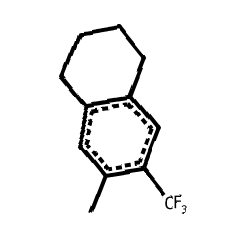 Cc1cc2c(cc1C(F)(F)F)CCCC2